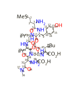 CSCC[C@H](N)C(=O)N[C@@H](Cc1ccc(O)cc1)C(=O)N[C@H](C(=O)N[C@H](C(=O)N(C(=O)[C@@H](N)CC(=O)N(C)C)[C@@H](CC(=O)O)C(=O)N[C@@H](CC(C)(C)C)C(=O)O)C(C)C)C(C)C